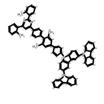 Cc1ccccc1-c1cc(-c2ccc(-c3c(C)cc(-c4ccc(-n5c6ccc(-n7c8ccccc8c8ccccc87)cc6c6cc(-n7c8ccccc8c8ccccc87)ccc65)cc4)cc3C)cc2)nc(-c2ccccc2C)n1